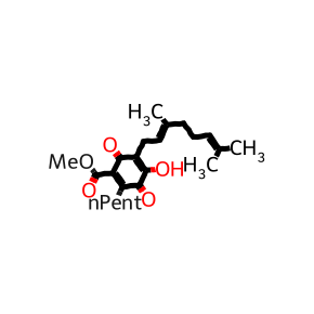 CCCCCC1=C(C(=O)OC)C(=O)C(C/C=C(\C)CCC=C(C)C)=C(O)C1=O